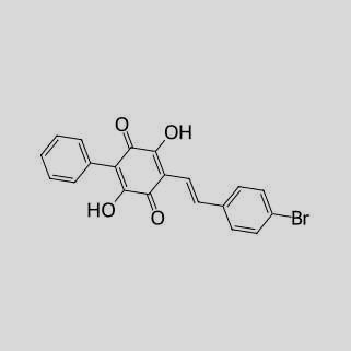 O=C1C(O)=C(c2ccccc2)C(=O)C(O)=C1C=Cc1ccc(Br)cc1